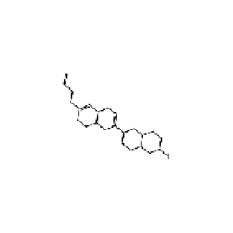 C=CCCC1=CC2CC=C(C3CCC4CC(I)CCC4C3)CC2CC1